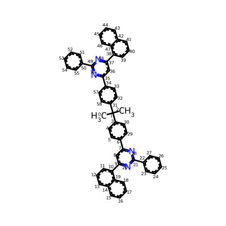 CC(C)(c1ccc(-c2cc(-c3cccc4ccccc34)nc(-c3ccccc3)n2)cc1)c1ccc(-c2cc(-c3cccc4ccccc34)nc(-c3ccccc3)n2)cc1